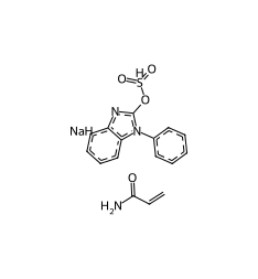 C=CC(N)=O.O=[SH](=O)Oc1nc2ccccc2n1-c1ccccc1.[NaH]